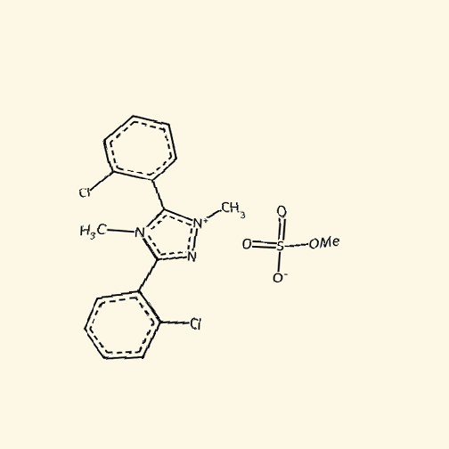 COS(=O)(=O)[O-].Cn1c(-c2ccccc2Cl)n[n+](C)c1-c1ccccc1Cl